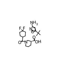 CC(C)(C)c1cc(N)no1.O=C(O)[C@H]1CCCN(C(=O)C2CCC(F)(F)CC2)C1